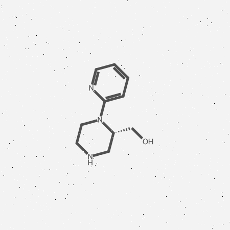 OC[C@@H]1CNCCN1c1ccccn1